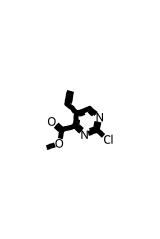 C=Cc1cnc(Cl)nc1C(=O)OC